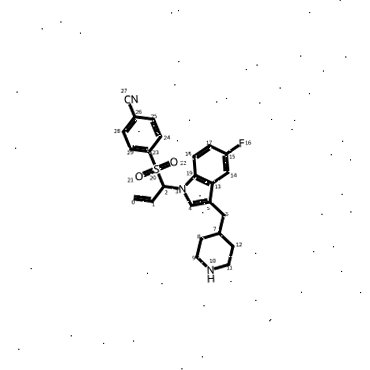 C=CC(n1cc(CC2CCNCC2)c2cc(F)ccc21)S(=O)(=O)c1ccc(C#N)cc1